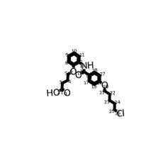 O=C(O)CCCOc1ccccc1NC(=O)c1ccc(OCCCCCCl)cc1